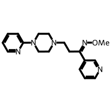 CON=C(CCN1CCN(c2ccccn2)CC1)c1cccnc1